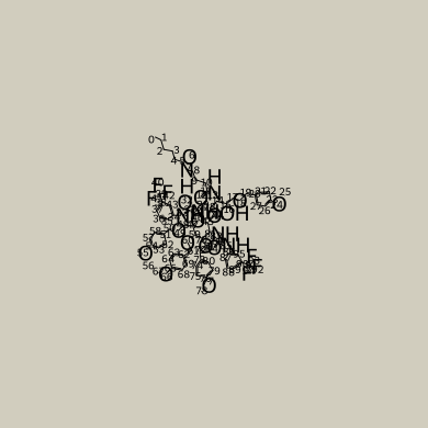 CCCCCC(=O)NCCCC(=O)N[C@@H](C(O)COCc1ccc(OC)cc1)[C@@H](CNC(=O)Nc1cccc(C(F)(F)F)c1)O[C@@H]1OC(COCc2ccc(OC)cc2)[C@H](OCc2ccc(OC)cc2)[C@H](OCc2ccc(OC)cc2)C1NC(=O)Nc1cccc(C(F)(F)F)c1